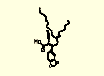 CCCCCCCCC(CCCCCC)CC(=C(C#N)C(=O)O)c1ccc2c(c1)OCO2